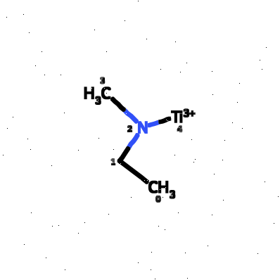 CC[N](C)[Ti+3]